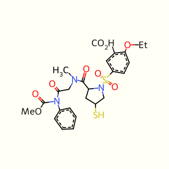 CCOc1ccc(S(=O)(=O)N2CC(S)CC2C(=O)N(C)CC(=O)N(C(=O)OC)c2ccccc2)cc1C(=O)O